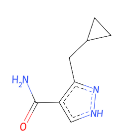 NC(=O)c1c[nH]nc1CC1CC1